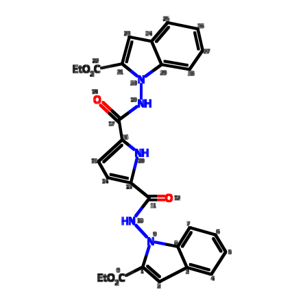 CCOC(=O)c1cc2ccccc2n1NC(=O)c1ccc(C(=O)Nn2c(C(=O)OCC)cc3ccccc32)[nH]1